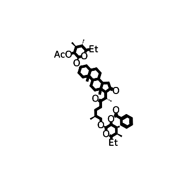 CCC1O[C@@H](OC2CCC3(C)C(CCC4C3CCC3(C)C4CC(=O)C3[C@H](C)C(=O)CC[C@H](C)CO[C@@H]3OC(CC)[C@H](C)[C@H](C)C3OC(=O)c3ccccc3)C2)C(OC(C)=O)[C@@H](C)[C@@H]1C